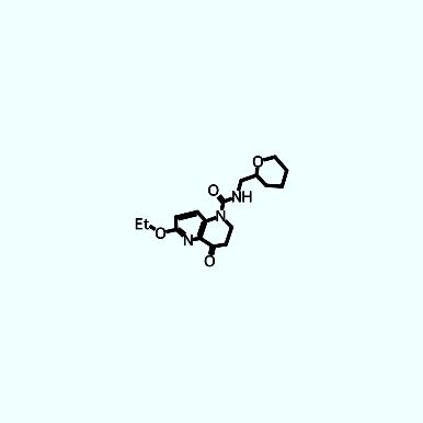 CCOc1ccc2c(n1)C(=O)CCN2C(=O)NCC1CCCCO1